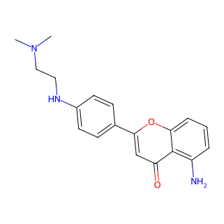 CN(C)CCNc1ccc(-c2cc(=O)c3c(N)cccc3o2)cc1